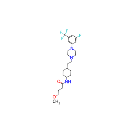 COCCCC(=O)NC1CCC(CCN2CCN(c3cc(F)cc(C(F)(F)F)c3)CC2)CC1